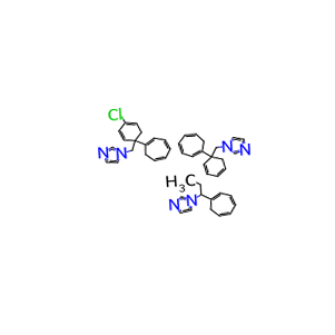 C1=CC=C(C2(Cn3ccnc3)C=CC=CC2)CC=C1.CCC(C1=CC=CC=CC1)n1ccnc1.ClC1=CCC(Cn2ccnc2)(C2=CC=CC=CC2)C=C1